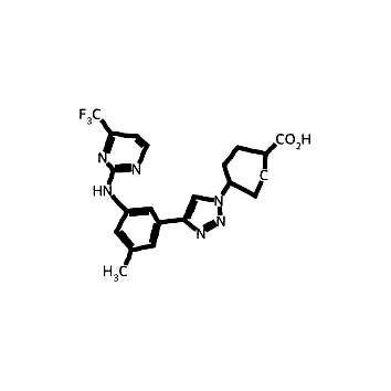 Cc1cc(Nc2nccc(C(F)(F)F)n2)cc(-c2cn(C3CCC(C(=O)O)CC3)nn2)c1